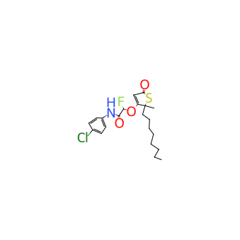 CCCCCCCCC1(C)SC(=O)C=C1OC(F)C(=O)Nc1ccc(Cl)cc1